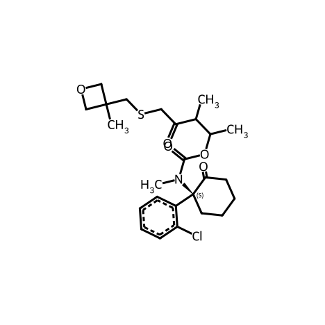 CC(OC(=O)N(C)[C@]1(c2ccccc2Cl)CCCCC1=O)C(C)C(=O)CSCC1(C)COC1